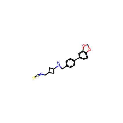 S=C=NCC1CC(NCc2ccc(-c3ccc4c(c3)OCO4)cc2)C1